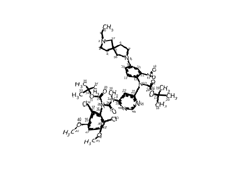 CCN1CCC2(CCN(c3ccc(N(C(=O)OC(C)(C)C)c4cc(N(C)C(=O)N(C(=O)OC(C)(C)C)c5c(Cl)c(OC)cc(OC)c5Cl)ncn4)c([N+](=O)[O-])c3)C2)C1